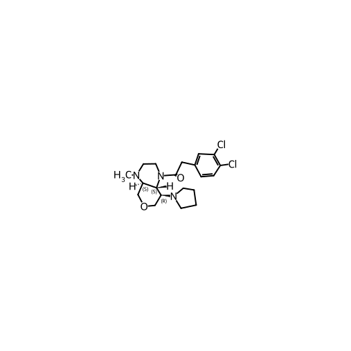 CN1CCN(C(=O)Cc2ccc(Cl)c(Cl)c2)[C@H]2[C@H]1COC[C@@H]2N1CCCC1